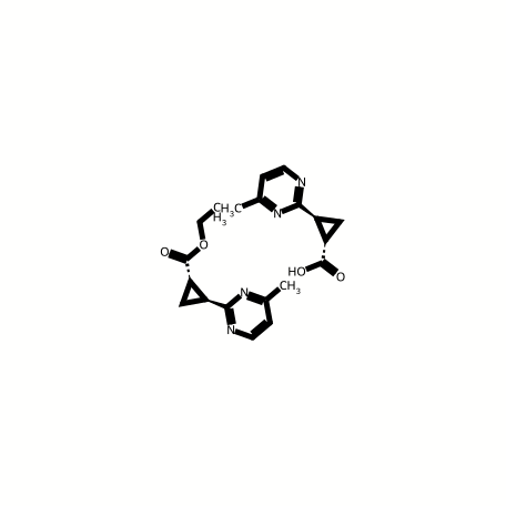 CCOC(=O)[C@H]1C[C@@H]1c1nccc(C)n1.Cc1ccnc([C@H]2C[C@@H]2C(=O)O)n1